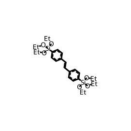 CCO[Si](OCC)(OCC)c1ccc(C=Cc2ccc([Si](OCC)(OCC)OCC)cc2)cc1